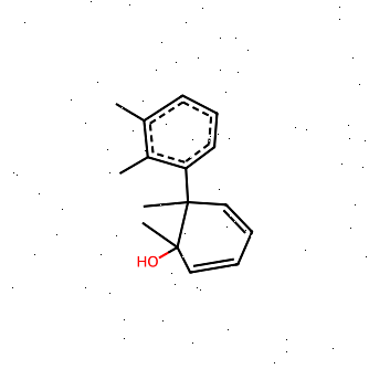 Cc1cccc(C2(C)C=CC=CC2(C)O)c1C